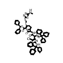 CNc1nnc(SCSC2=C(C(=O)OC(c3ccccc3)c3ccccc3)N3C(=O)C(NC(=O)C(=NOC(c4ccccc4)(c4ccccc4)c4ccccc4)c4nc(NC(c5ccccc5)(c5ccccc5)c5ccccc5)sc4Cl)C3CC2)s1